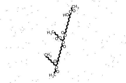 C=CC(=O)COC(CCCCCCCCCCC(=O)COC(CCOC(=O)CCCCCCCCCC(O)COC(=O)C=C)COC(=O)CCCC)CC(O)CCCCCC